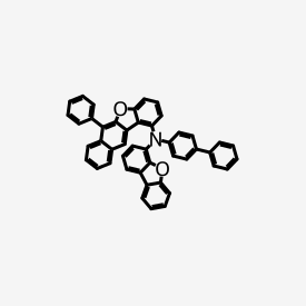 c1ccc(-c2ccc(N(c3cccc4c3oc3ccccc34)c3cccc4oc5c(-c6ccccc6)c6ccccc6cc5c34)cc2)cc1